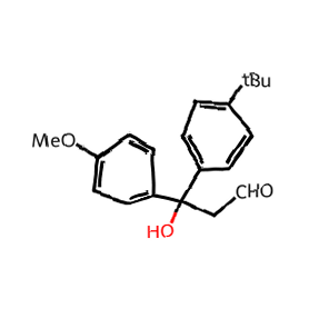 COc1ccc(C(O)(CC=O)c2ccc(C(C)(C)C)cc2)cc1